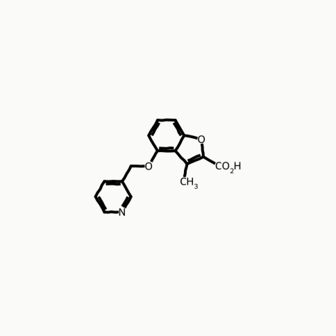 Cc1c(C(=O)O)oc2cccc(OCc3cccnc3)c12